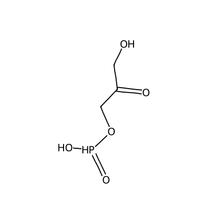 O=C(CO)CO[PH](=O)O